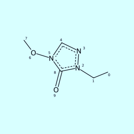 CCn1ncn(OC)c1=O